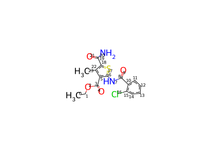 CCOC(=O)c1c(NC(=O)c2ccccc2Cl)sc(C(N)=O)c1C